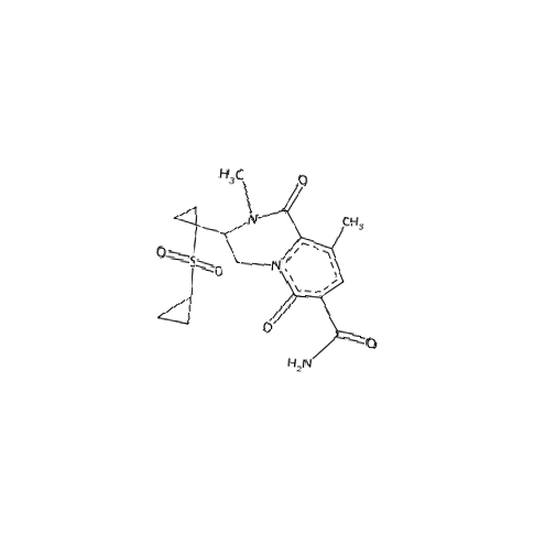 Cc1cc(C(N)=O)c(=O)n2c1C(=O)N(C)C(C1(S(=O)(=O)C3CC3)CC1)C2